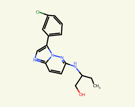 CCC(CO)Nc1ccc2ncc(-c3cccc(Cl)c3)n2n1